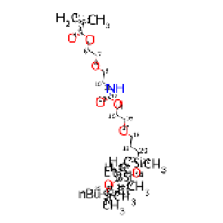 C=C(C)C(=O)OCCOCCNC(=O)OCCOCCC[Si](C)(C)O[Si](C)(C)C(CC)(CC)O[Si](C)(C)CCCC